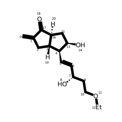 C=C1C[C@H]2[C@H](/C=C/[C@@H](O)CCOCC)[C@H](O)C[C@@H]2C1=O